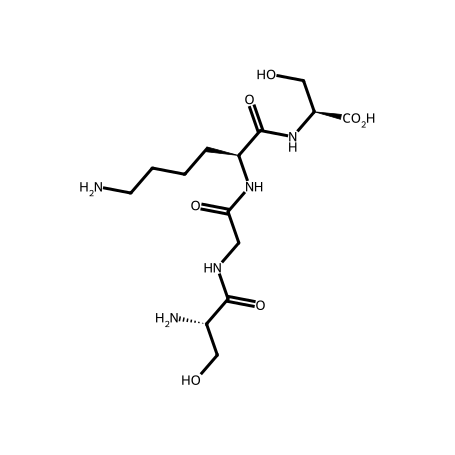 NCCCC[C@H](NC(=O)CNC(=O)[C@@H](N)CO)C(=O)N[C@@H](CO)C(=O)O